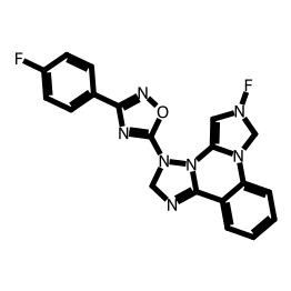 Fc1ccc(-c2noc(N3CN=C4c5ccccc5N5CN(F)C=C5N43)n2)cc1